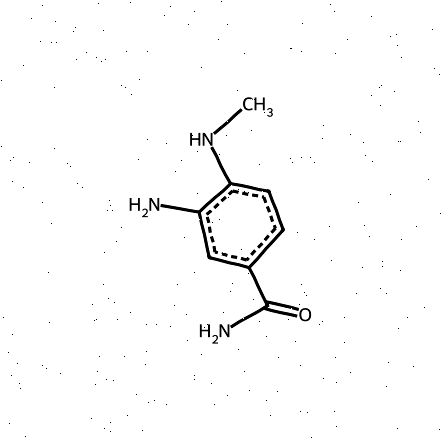 CNc1ccc(C(N)=O)cc1N